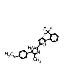 CCc1ccc(-c2[nH]c(-c3ccc(-c4ccccc4C(F)(F)F)o3)nc2C)cc1